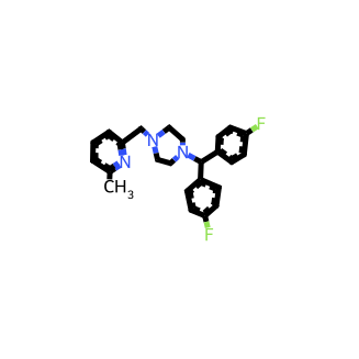 Cc1cccc(CN2CCN(C(c3ccc(F)cc3)c3ccc(F)cc3)CC2)n1